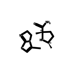 CC1=CSC2=NCCN12.C[C@H]1CC[C@@](C)(C(N)=O)N1